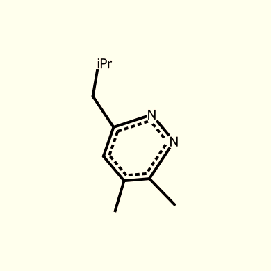 Cc1cc(CC(C)C)nnc1C